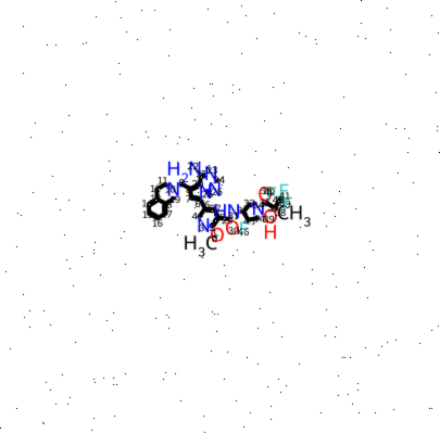 COc1ncc(-c2cc(CN3CCc4ccccc4C3)c3c(N)ncnn23)cc1C(=O)N[C@@H]1CN(C(=O)C(C)(O)C(F)(F)F)C[C@@H]1F